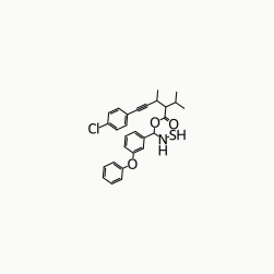 CC(C)C(C(=O)OC(NS)c1cccc(Oc2ccccc2)c1)C(C)C#Cc1ccc(Cl)cc1